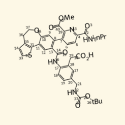 CCCNC(=O)c1ccc(-c2cc3c(cc2C(=O)Nc2ccc(CNC(=O)OC(C)(C)C)cc2CC(=O)O)-c2sccc2CCO3)c(C(=O)OC)n1